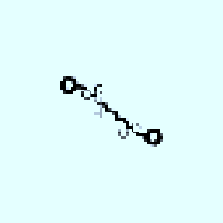 O=C(CCCCCNC(=O)OCc1ccccc1)OCc1ccccc1